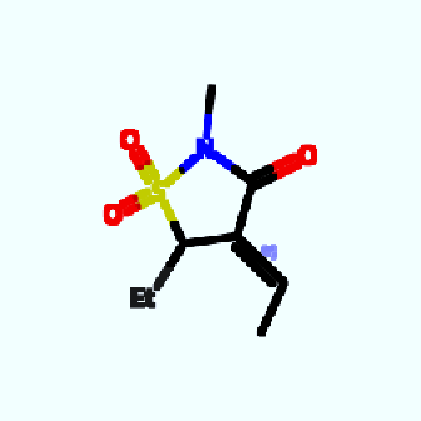 C/C=C1/C(=O)N(C)S(=O)(=O)C1CC